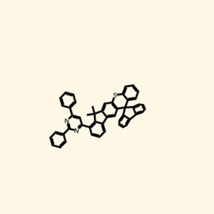 CC1(C)c2cc3c(cc2-c2cccc(-c4cc(-c5ccccc5)nc(-c5ccccc5)n4)c21)C1(c2ccccc2S3)c2ccccc2-c2ccccc21